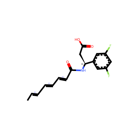 C/C=C/C=C/C=C/C(=O)N[C@@H](CC(=O)O)c1cc(F)cc(F)c1